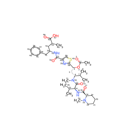 CC(=O)O[C@H](C[C@H](C(C)C)N(C)C(=O)[C@@H](NC(=O)[C@H]1CCCCN1C)C(C)C)c1nc(C(=O)NC(Cc2ccccc2)CC(C)C(=O)O)cs1